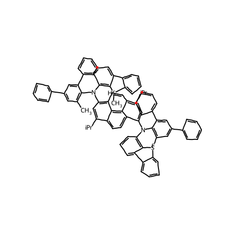 Cc1cc(-c2ccccc2)cc(-c2ccccc2)c1N(c1cccc2c1[SH](C)c1ccccc1-2)c1cc(C(C)C)c2ccc3c(N(c4c(F)cc(-c5ccccc5)cc4-c4ccccc4)c4cccc5c4sc4ccccc45)cc(C(C)C)c4ccc1c2c43